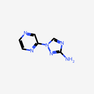 Nc1ncn(-c2cnccn2)n1